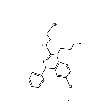 CCCCN1C(NCCO)=NC(c2ccccc2)c2cc(Cl)ccc21